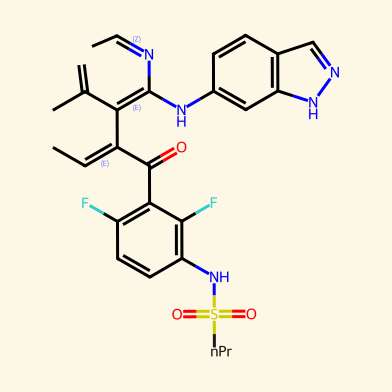 C=C(C)C(/C(=C\C)C(=O)c1c(F)ccc(NS(=O)(=O)CCC)c1F)=C(\N=C/C)Nc1ccc2cn[nH]c2c1